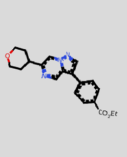 CCOC(=O)c1ccc(-c2cnn3cc(C4CCOCC4)ncc23)cc1